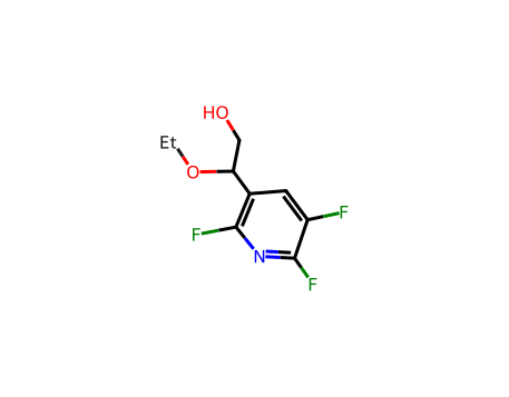 CCOC(CO)c1cc(F)c(F)nc1F